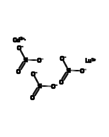 O=[Si]([O-])[O-].O=[Si]([O-])[O-].O=[Si]([O-])[O-].[Gd+3].[Lu+3]